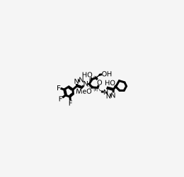 CO[C@@H]1[C@@H](n2cc(-c3cc(F)c(F)c(F)c3)nn2)[C@@H](O)[C@@H](CO)O[C@@H]1Cn1cc(C2(O)CCCCC2)nn1